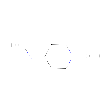 CCOC(=O)N1CCC(NS(=O)(=O)O)CC1